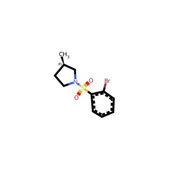 C[C@@H]1CCN(S(=O)(=O)c2ccccc2Br)C1